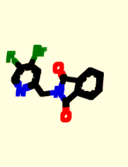 O=C1c2ccccc2C(=O)N1Cc1cc(Br)c(F)cn1